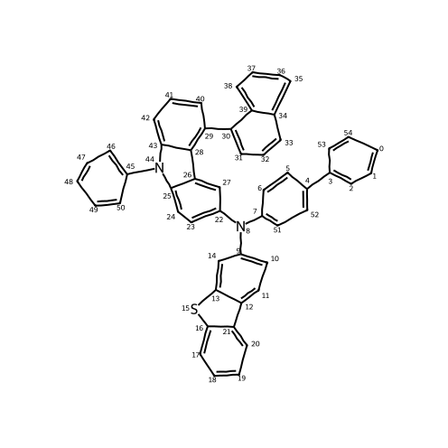 c1ccc(-c2ccc(N(c3ccc4c(c3)sc3ccccc34)c3ccc4c(c3)c3c(-c5cccc6ccccc56)cccc3n4-c3ccccc3)cc2)cc1